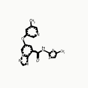 Cc1cncc(Oc2cc(C(=O)Nc3nc(C)cs3)c3ncnn3c2)c1